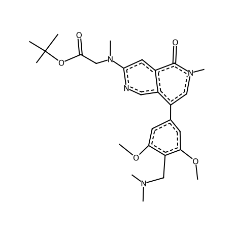 COc1cc(-c2cn(C)c(=O)c3cc(N(C)CC(=O)OC(C)(C)C)ncc23)cc(OC)c1CN(C)C